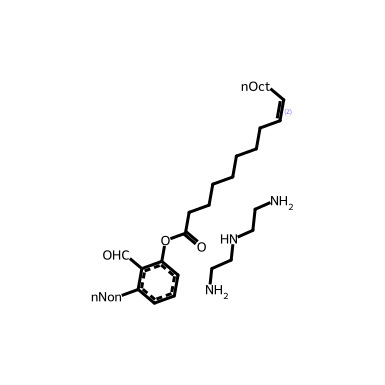 CCCCCCCC/C=C\CCCCCCCC(=O)Oc1cccc(CCCCCCCCC)c1C=O.NCCNCCN